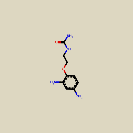 NC(=O)NCCOc1ccc(N)cc1N